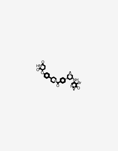 CN1C[C@H](Nc2cnn(C)c(=O)c2Br)C[C@H](c2ccc(C(=O)N3CCC(c4ccc(OC5CCC(=O)NC5=O)cc4)CC3)cc2)C1